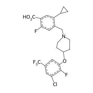 O=C(O)c1cc(C2CC2)c(CN2CCC(Oc3cc(C(F)(F)F)cc(Cl)c3F)CC2)cc1F